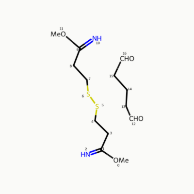 COC(=N)CCSSCCC(=N)OC.O=CCCCC=O